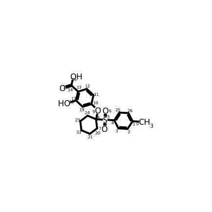 Cc1ccc(S(=O)(=O)C2(Oc3ccc(C(=O)O)c(O)c3)CCCCC2)cc1